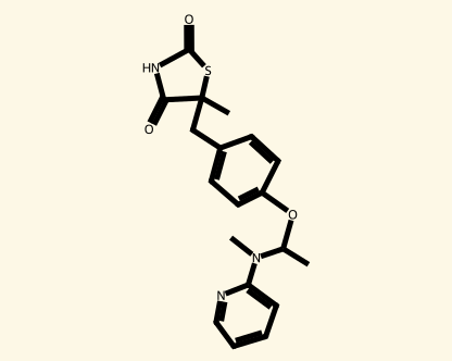 CC(Oc1ccc(CC2(C)SC(=O)NC2=O)cc1)N(C)c1ccccn1